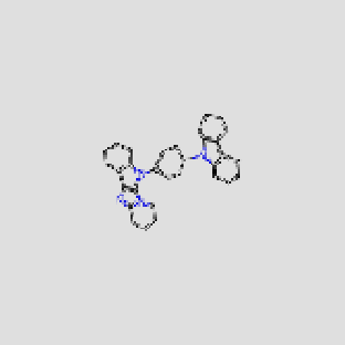 c1ccc2c(c1)c1ccccc1n2-c1ccc(-n2c3ccccc3c3nc4ccccn4c32)cc1